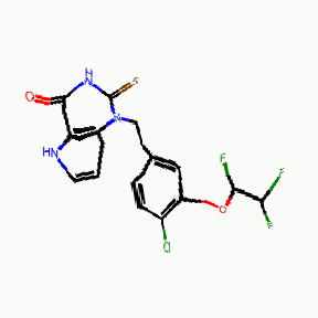 O=c1[nH]c(=S)n(Cc2ccc(Cl)c(OC(F)C(F)F)c2)c2cc[nH]c12